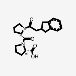 O=C(O)[C@@H]1CCCN1C(=O)[C@@H]1CCCN1C(=O)CC1Cc2ccccc2C1